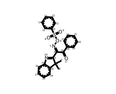 CC1(C)C(/C(=N/OS(=O)(=O)c2ccccc2)C(=O)c2ccccc2)=Nc2ccccc21